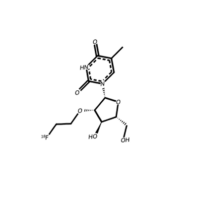 Cc1cn([C@@H]2O[C@H](CO)[C@@H](O)[C@@H]2OCC[18F])c(=O)[nH]c1=O